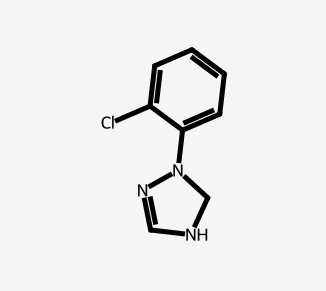 Clc1ccccc1N1CNC=N1